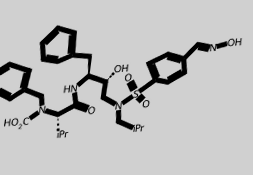 CC(C)CN(C[C@@H](O)[C@H](Cc1ccccc1)NC(=O)[C@H](C(C)C)N(Cc1ccccc1)C(=O)O)S(=O)(=O)c1ccc(/C=N/O)cc1